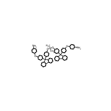 C[Si](C)(Oc1ccc(C2(c3ccc(Oc4ccc(N)cc4)cc3)c3ccccc3-c3ccccc32)cc1)Oc1ccc(C2(c3ccc(Oc4ccc(N)cc4)cc3)c3ccccc3-c3ccccc32)cc1